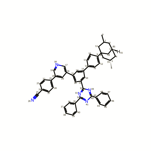 CC1C[C@@H]2C[C@H](C)CC(c3ccc(-c4cc(-c5cncc(-c6ccc(C#N)cc6)c5)cc(-c5nc(-c6ccccc6)nc(-c6ccccc6)n5)c4)cc3)(C1)C2